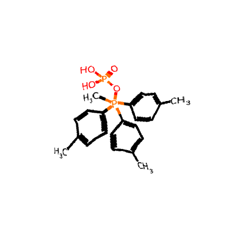 Cc1ccc(P(C)(OP(=O)(O)O)(c2ccc(C)cc2)c2ccc(C)cc2)cc1